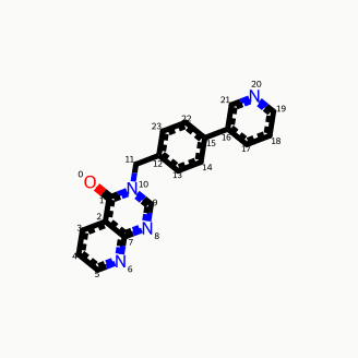 O=c1c2cccnc2ncn1Cc1ccc(-c2cccnc2)cc1